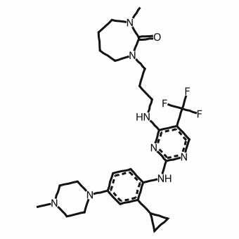 CN1CCN(c2ccc(Nc3ncc(C(F)(F)F)c(NCCCN4CCCCN(C)C4=O)n3)c(C3CC3)c2)CC1